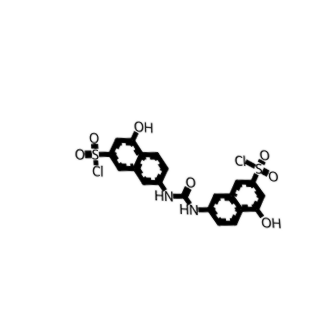 O=C(Nc1ccc2c(O)cc(S(=O)(=O)Cl)cc2c1)Nc1ccc2c(O)cc(S(=O)(=O)Cl)cc2c1